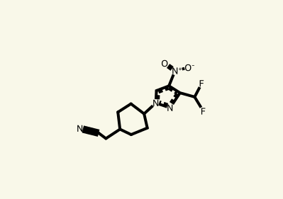 N#CCC1CCC(n2cc([N+](=O)[O-])c(C(F)F)n2)CC1